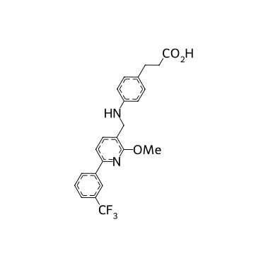 COc1nc(-c2cccc(C(F)(F)F)c2)ccc1CNc1ccc(CCC(=O)O)cc1